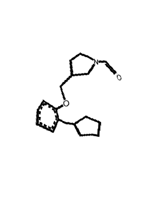 O=CN1CCC(COc2ccccc2C2CCCC2)C1